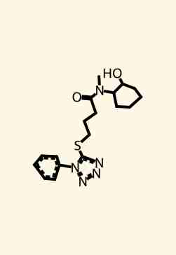 CN(C(=O)CCCSc1nnnn1-c1ccccc1)C1CCCCC1O